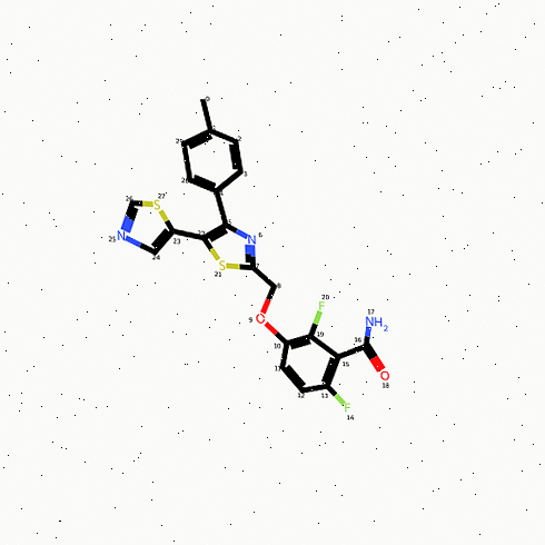 Cc1ccc(-c2nc(COc3ccc(F)c(C(N)=O)c3F)sc2-c2cncs2)cc1